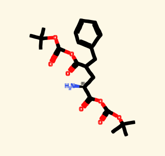 CC(C)(C)OC(=O)OC(=O)C(Cc1ccccc1)C[C@H](N)C(=O)OC(=O)OC(C)(C)C